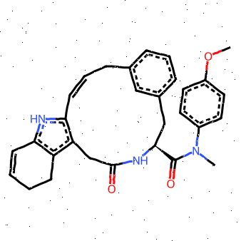 COc1ccc(N(C)C(=O)[C@@H]2Cc3cccc(c3)C/C=C\c3[nH]c4c(c3CC(=O)N2)CCC=C4)cc1